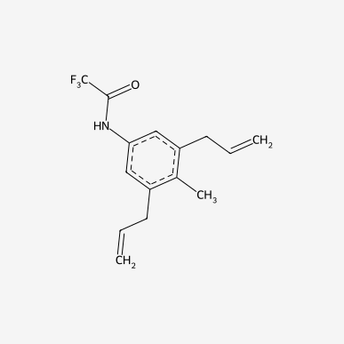 C=CCc1cc(NC(=O)C(F)(F)F)cc(CC=C)c1C